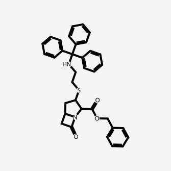 O=C(OCc1ccccc1)C1C(SCCNC(c2ccccc2)(c2ccccc2)c2ccccc2)CC2CC(=O)N21